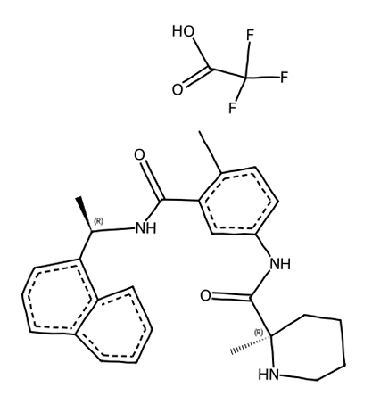 Cc1ccc(NC(=O)[C@@]2(C)CCCCN2)cc1C(=O)N[C@H](C)c1cccc2ccccc12.O=C(O)C(F)(F)F